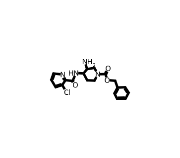 NC1CN(C(=O)OCc2ccccc2)CCC1NC(=O)c1ncccc1Cl